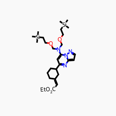 CCOC(=O)C=C1CCCC(c2cc(N(COCC[Si](C)(C)C)COCC[Si](C)(C)C)n3nccc3n2)C1